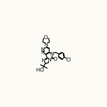 CC(C)(O)C1CN2C(=O)N(Cc3ccc(Cl)cc3)c3cc(N4CCOCC4)nnc3C2=N1